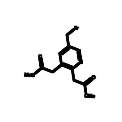 COC(=O)Cc1cc(CBr)cnc1CC(=O)OC